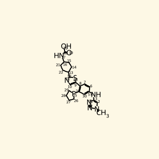 Cn1cc(Nc2ccc(-c3cnc(C4CCC(NC(=O)O)CC4)s3)c(P3CCCC3)c2)nn1